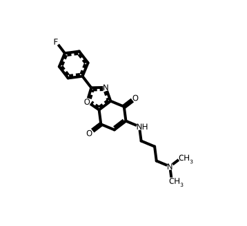 CN(C)CCCNC1=CC(=O)c2oc(-c3ccc(F)cc3)nc2C1=O